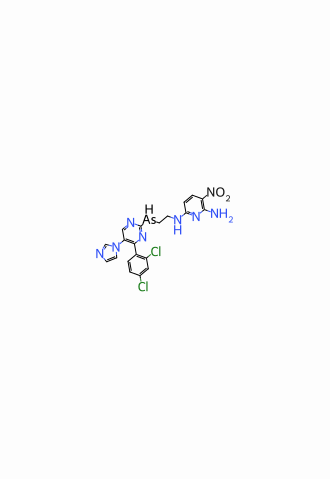 Nc1nc(NCC[AsH]c2ncc(-n3ccnc3)c(-c3ccc(Cl)cc3Cl)n2)ccc1[N+](=O)[O-]